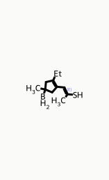 BC1(C)CC(/C=C(\C)S)=C(CC)C1